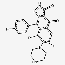 O=c1[nH]oc2c1c(=O)c1cc(F)c(N3CCNCC3)c(F)c1n2-c1ccc(F)cc1